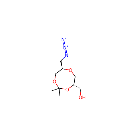 CC1(C)OC[C@@H](CN=[N+]=[N-])OC[C@H](CO)O1